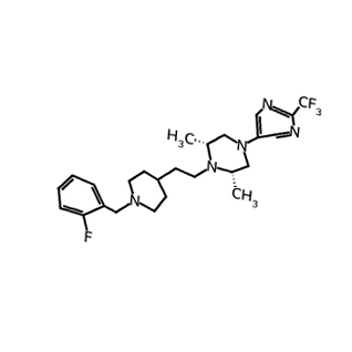 C[C@@H]1CN(c2cnc(C(F)(F)F)nc2)C[C@H](C)N1CCC1CCN(Cc2ccccc2F)CC1